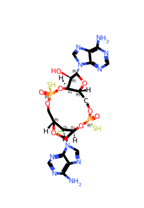 Nc1ncnc2c1ncn2[C@@H]1O[C@@H]2CO[P@@](=O)(S)O[C@@H]3[C@@H](F)[C@@H](CO[P@@](=O)(S)O[C@H]2[C@H]1O)O[C@H]3n1cnc2c(N)ncnc21